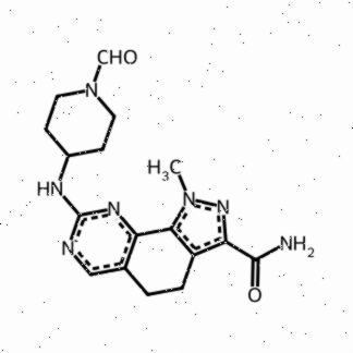 Cn1nc(C(N)=O)c2c1-c1nc(NC3CCN(C=O)CC3)ncc1CC2